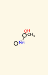 Cc1cc(CCNc2ccccc2)ccc1O